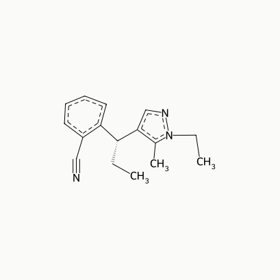 CC[C@H](c1ccccc1C#N)c1cnn(CC)c1C